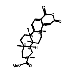 COC(=O)[C@]1(C)CC[C@]2(C)CC[C@]3(C)C4=CC=C5C(=O)OC(=O)C=C5[C@]4(C)CCC3(C)[C@@H]2C1